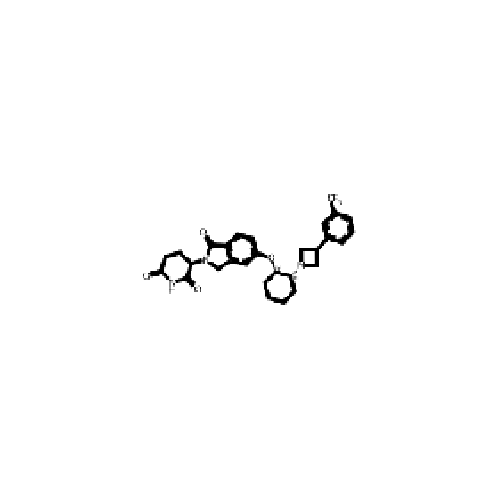 O=C1CCC(N2Cc3cc(O[C@@H]4CCCC[C@H]4N4CC(c5cccc(C(F)(F)F)c5)C4)ccc3C2=O)C(=O)N1